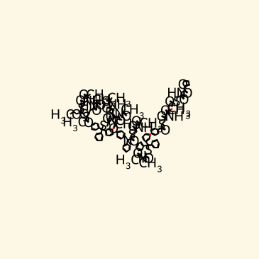 CC(=O)N(C)C(=O)CSC(c1ccccc1)(c1ccccc1)c1ccccc1.CC(=O)NC(=O)CCSC(C)=O.CC(=O)NC(=O)CSC(=O)N(c1ccccc1)c1ccccc1.CC(=O)NC(=O)CSC(=O)c1ccccc1.CC(=O)NC(=O)CSC(C(=O)NC(C)=O)N(C(C)=O)C(=O)CSC(c1ccccc1)(c1ccccc1)c1ccccc1.CC(=O)SCC(=O)NC(=O)c1ccco1.CCOC(=O)SCC(=O)NC(C)=O